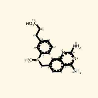 CN(Cc1ccc2c(N)nc(N)nc2c1)c1cccc(CCC(=O)O)c1